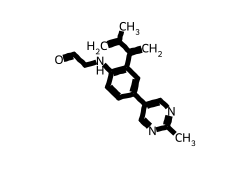 C=C(C)C(=C)c1cc(-c2cnc(C)nc2)ccc1NCC=O